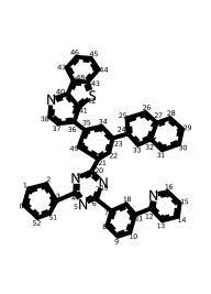 c1ccc(-c2nc(-c3cccc(-c4ccccn4)c3)nc(-c3cc(-c4ccc5ccccc5c4)cc(-c4ccnc5c4sc4ccccc45)c3)n2)cc1